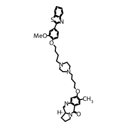 COc1cc(-c2nc3ccccc3s2)ccc1OCCCCN1CCN(CCCCOc2cc3c(cc2C)C(=O)N2CCC[C@H]2C=N3)CC1